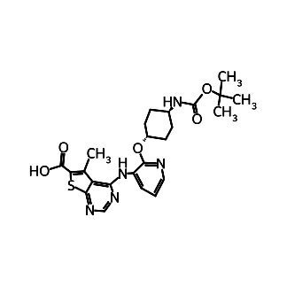 Cc1c(C(=O)O)sc2ncnc(Nc3cccnc3O[C@H]3CC[C@H](NC(=O)OC(C)(C)C)CC3)c12